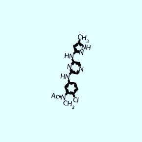 CC(=O)N(C)c1cc(Nc2cncc(Nc3cc(C)[nH]n3)n2)ccc1Cl